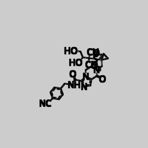 CC(C)(C(O)CO)S(=O)(=O)C1(CN2CCn3c(cnc3C(=O)NCc3ccc(C#N)cc3)C2=O)CC1